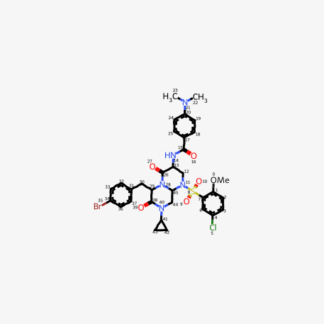 COc1ccc(Cl)cc1S(=O)(=O)N1CC(NC(=O)c2ccc(N(C)C)cc2)C(=O)N2C(Cc3ccc(Br)cc3)C(=O)N(C3CC3)CC21